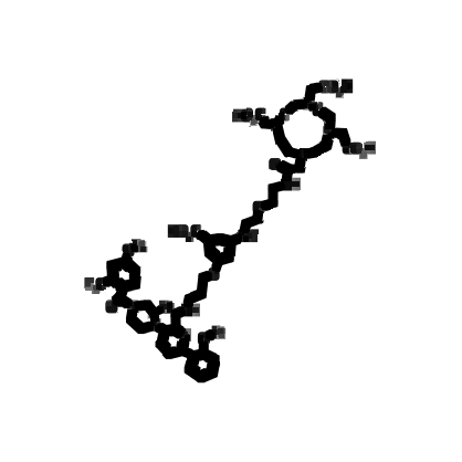 CCOc1ccc(C(=O)N2CCN(c3ccc(-c4ccccc4OCC)nc3CNCCCOc3cc(NCCOCCNC(=O)CN4CCN(CC(=O)O)CCN(CC(=O)O)CCN(CC(=O)O)CC4)cc(C(=O)O)c3)[C@H](CC)C2)c(C(F)(F)F)c1